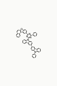 c1ccc(-c2nc(-c3ccc4oc5ccc6ccccc6c5c4c3)nc(-n3c4ccccc4c4cc(-c5ccc6c(c5)c5ccccc5n6-c5ccccc5)ccc43)n2)cc1